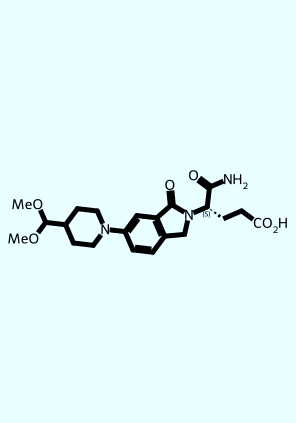 COC(OC)C1CCN(c2ccc3c(c2)C(=O)N([C@@H](CCC(=O)O)C(N)=O)C3)CC1